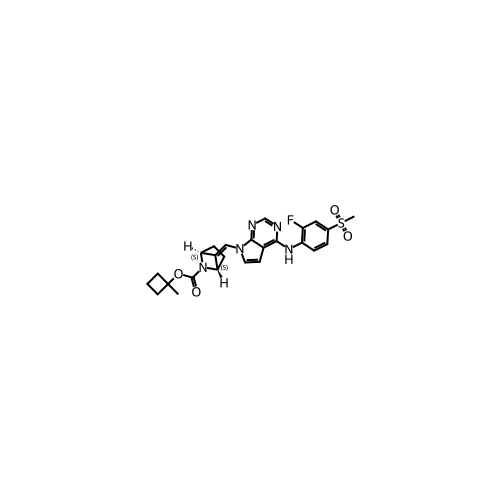 CC1(OC(=O)N2[C@H]3CC[C@H]2C3=Cn2ccc3c(Nc4ccc(S(C)(=O)=O)cc4F)ncnc32)CCC1